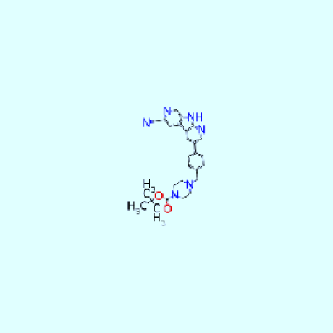 CC(C)(C)OC(=O)N1CCN(Cc2ccc(-c3cnc4[nH]c5cnc(C#N)cc5c4c3)cc2)CC1